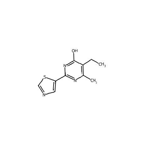 CCc1c(C)nc(-c2cncs2)nc1O